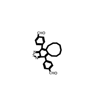 O=Cc1ccc(-c2c3c(c(-c4ccc(C=O)cc4)c4nsnc24)CCCCCCCC3)cc1